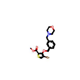 COC(=O)c1scc(Br)c1OCc1cccc(CN2CCOCC2)c1